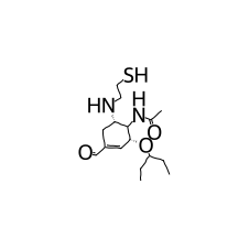 CCC(CC)O[C@@H]1C=C(C=O)C[C@H](NCCS)C1NC(C)=O